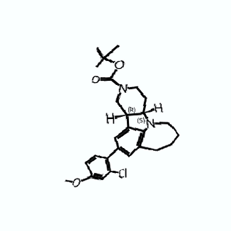 COc1ccc(-c2cc3c4c(c2)[C@@H]2CN(C(=O)OC(C)(C)C)CC[C@@H]2N4CCCC3)c(Cl)c1